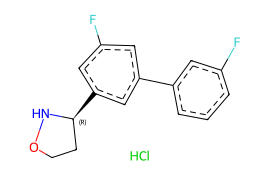 Cl.Fc1cccc(-c2cc(F)cc([C@H]3CCON3)c2)c1